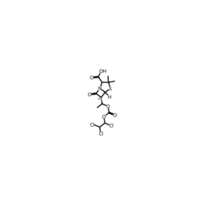 CC(OC(=O)OC(Cl)C(Cl)Cl)[C@H]1C(=O)N2C(C(=O)O)C(C)(C)S[C@H]12